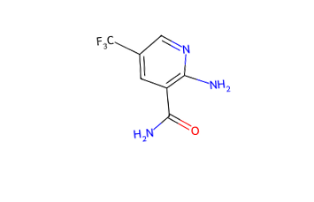 NC(=O)c1cc(C(F)(F)F)cnc1N